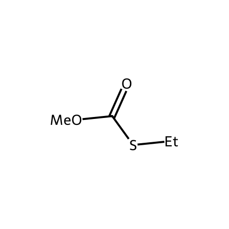 [CH2]CSC(=O)OC